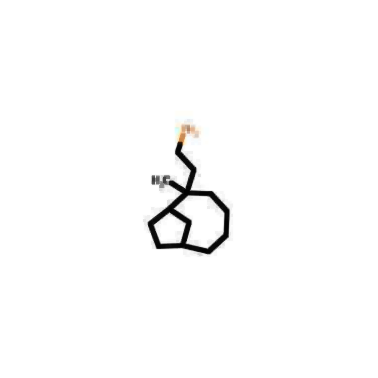 CC1(CCP)CCCCC2CCC1C2